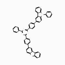 c1ccc(-c2nc(-c3ccc(-c4ccc5oc6ccccc6c5c4)cc3)nc(-c3ccc(-c4ccc5c(c4)c4ccccc4n5-c4ccccc4)cc3)n2)cc1